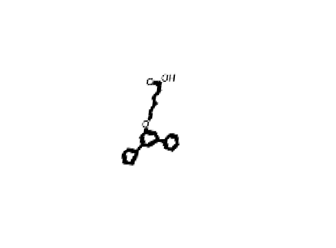 O=C(O)CCCCCOc1cc(-c2ccccc2)cc(-c2ccccc2)c1